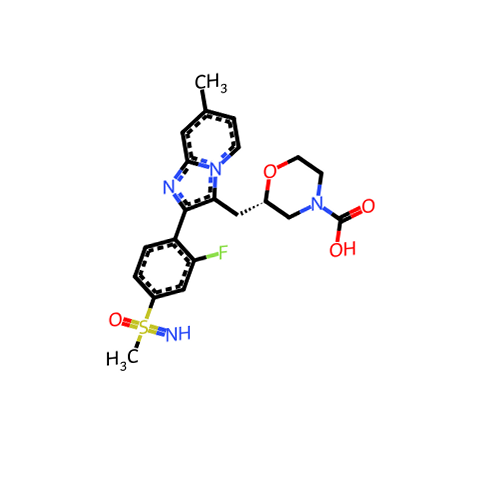 Cc1ccn2c(C[C@H]3CN(C(=O)O)CCO3)c(-c3ccc(S(C)(=N)=O)cc3F)nc2c1